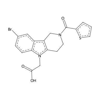 O=C(O)Cn1c2c(c3cc(Br)ccc31)CN(C(=O)c1cccs1)CC2